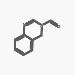 O=CN1C=Nc2ccccc2C1